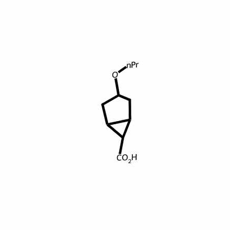 CCCOC1CC2C(C1)C2C(=O)O